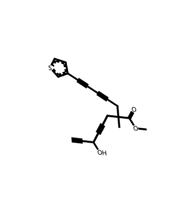 C#CC(O)C#CCC(C)(CC#CC#Cc1ccsc1)C(=O)OC